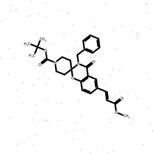 COC(=O)C=Cc1ccc2c(c1)C(=O)N(Cc1ccccc1)C1(CCN(C(=O)OC(C)(C)C)CC1)O2